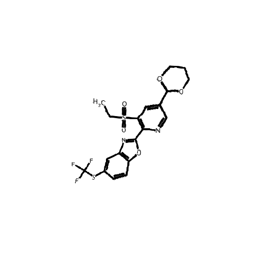 CCS(=O)(=O)c1cc(C2OCCCO2)cnc1-c1nc2cc(SC(F)(F)F)ccc2o1